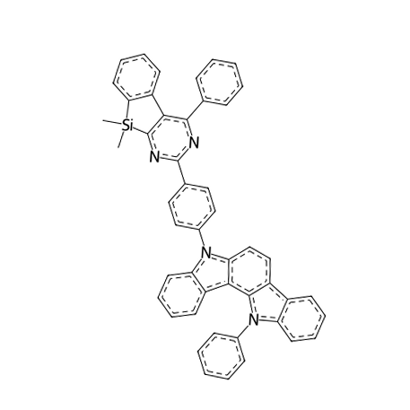 C[Si]1(C)c2ccccc2-c2c(-c3ccccc3)nc(-c3ccc(-n4c5ccccc5c5c4ccc4c6ccccc6n(-c6ccccc6)c45)cc3)nc21